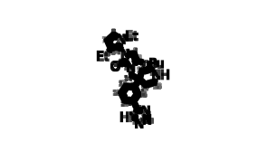 CCCCc1cn(-c2c(CC)ccn2CC)c(=O)n1CC1(c2cccc(-c3nnn[nH]3)c2)C=CNC=C1